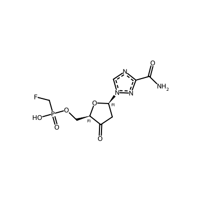 NC(=O)c1ncn([C@H]2CC(=O)[C@@H](COP(=O)(O)CF)O2)n1